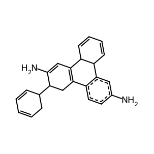 NC1=CC2=C(CC1C1C=CC=CC1)c1ccc(N)cc1C1C=CC=CC21